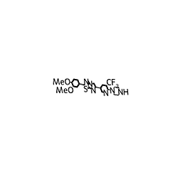 COc1ccc(-c2nn3cc(-c4cnc(N5CCNCC5)c(C(F)(F)F)c4)nc3s2)cc1OC